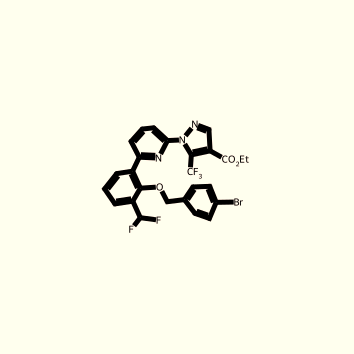 CCOC(=O)c1cnn(-c2cccc(-c3cccc(C(F)F)c3OCc3ccc(Br)cc3)n2)c1C(F)(F)F